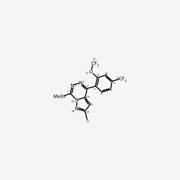 CSc1nnc(-c2ccc(C(F)(F)F)cc2OC(F)(F)F)c2cc(C)nn12